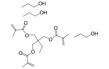 C=C(C)C(=O)OCC(CC)(COC(=O)C(=C)C)COC(=O)C(=C)C.CCCO.CCCO.CCCO